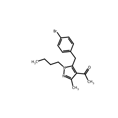 CCCCn1nc(C)c(C(C)=O)c1Cc1ccc(Br)cc1